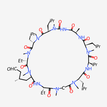 CC[C@@H]1NC(=O)C(C[C@H](C)CC=O)N(C)C(=O)[C@H](CC)N(C)C(=O)[C@H](CC(C)C)N(C)C(=O)[C@@H](CC(C)C)N(C)C(=O)NC(=O)[C@@H](C)NC(=O)[C@@H](CC(C)C)N(C)C(=O)[C@@H](C(C)C)NC(=O)[C@H](CC(C)C)N(C)C(=O)CN(C)C1=O